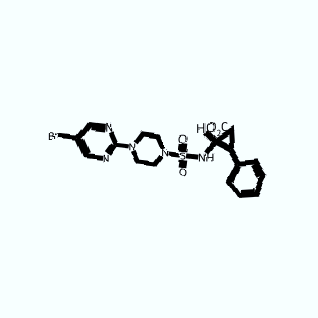 O=C(O)C1(NS(=O)(=O)N2CCN(c3ncc(Br)cn3)CC2)CC1c1ccccc1